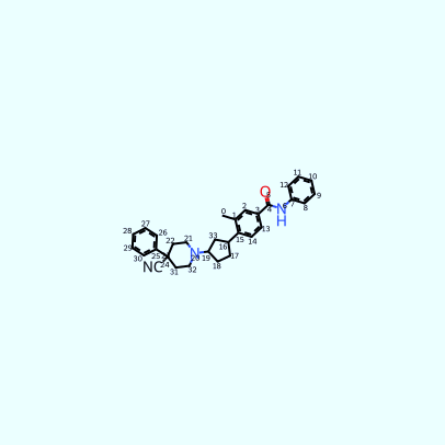 Cc1cc(C(=O)Nc2ccccc2)ccc1C1CCC(N2CCC(C#N)(c3ccccc3)CC2)C1